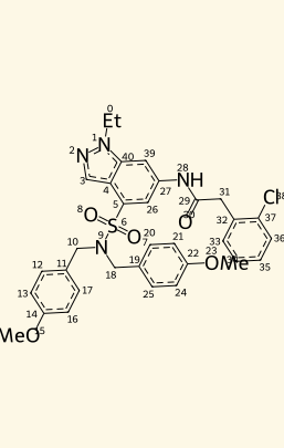 CCn1ncc2c(S(=O)(=O)N(Cc3ccc(OC)cc3)Cc3ccc(OC)cc3)cc(NC(=O)Cc3ccccc3Cl)cc21